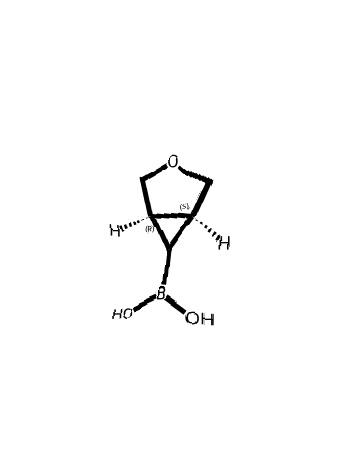 OB(O)C1[C@H]2COC[C@@H]12